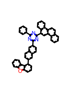 c1ccc(-c2nc(-c3ccc4cc(-c5cccc6oc7ccccc7c56)ccc4c3)nc(-c3cc4c5ccccc5ccc4c4ccccc34)n2)cc1